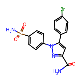 NC(=O)c1cc(-c2ccc(Br)cc2)n(-c2ccc(S(N)(=O)=O)cc2)n1